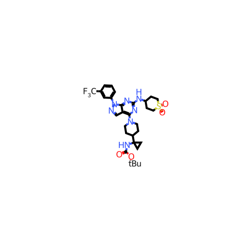 CC(C)(C)OC(=O)NC1(C2CCN(c3nc(NC4CCS(=O)(=O)CC4)nc4c3cnn4-c3cccc(C(F)(F)F)c3)CC2)CC1